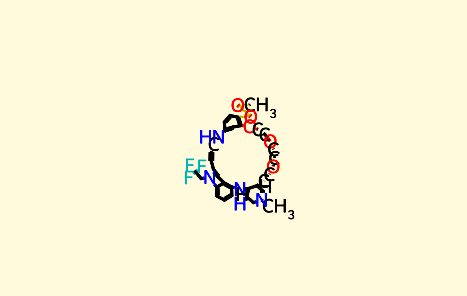 CN1CC[C@H]2Nc3cccc4c3cc(n4CC(F)(F)F)C#CCNc3ccc(S(C)(=O)=O)c(c3)OCCOCCOCC[C@@H]2C1